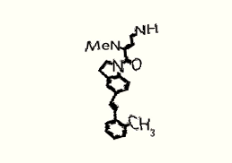 CN/C(=C\C=N)C(=O)N1CCc2cc(/C=C/c3ccccc3C)ccc21